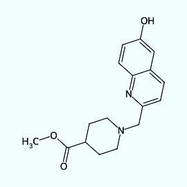 COC(=O)C1CCN(Cc2ccc3cc(O)ccc3n2)CC1